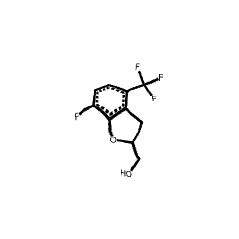 OCC1Cc2c(C(F)(F)F)ccc(F)c2O1